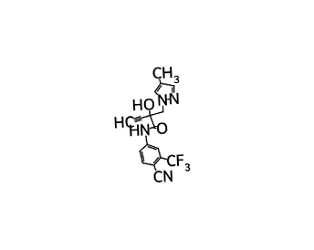 C#CC(O)(Cn1cc(C)cn1)C(=O)Nc1ccc(C#N)c(C(F)(F)F)c1